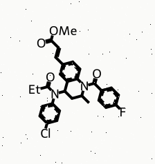 CCC(=O)N(c1ccc(Cl)cc1)C1CC(C)N(C(=O)c2ccc(F)cc2)c2ccc(/C=C/C(=O)OC)cc21